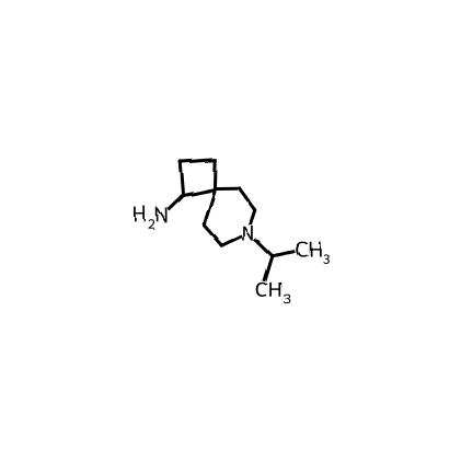 CC(C)N1CCC2(CCC2N)CC1